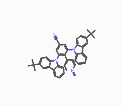 C=N/C=C\C(=C/C)c1c(-n2c3ccccc3c3cc(C(C)(C)C)ccc32)cc(C#N)cc1-n1c2ccccc2c2cc(C(C)(C)C)ccc21